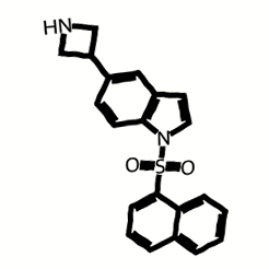 O=S(=O)(c1cccc2ccccc12)n1ccc2cc(C3CNC3)ccc21